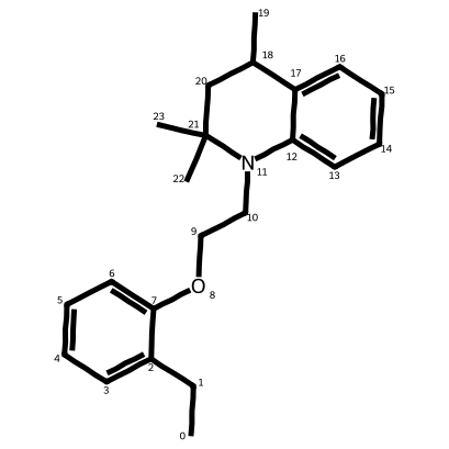 CCc1ccccc1OCCN1c2ccccc2C(C)CC1(C)C